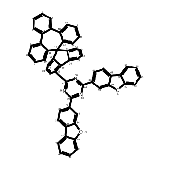 c1ccc2c(c1)-c1ccccc1C1(c3ccccc3-2)c2ccccc2-c2c(-c3nc(-c4ccc5c(c4)oc4ccccc45)nc(-c4ccc5c(c4)oc4ccccc45)n3)cccc21